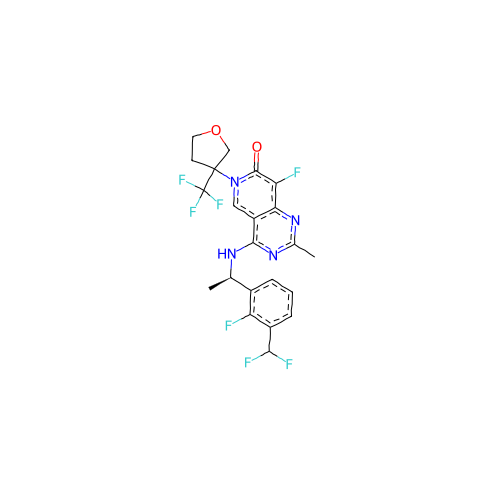 Cc1nc(N[C@H](C)c2cccc(C(F)F)c2F)c2cn(C3(C(F)(F)F)CCOC3)c(=O)c(F)c2n1